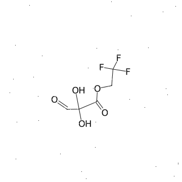 O=CC(O)(O)C(=O)OCC(F)(F)F